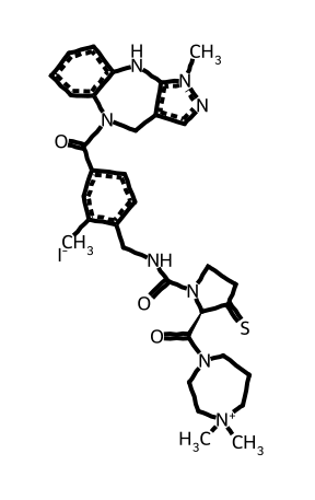 Cc1cc(C(=O)N2Cc3cnn(C)c3Nc3ccccc32)ccc1CNC(=O)N1CCC(=S)[C@H]1C(=O)N1CCC[N+](C)(C)CC1.[I-]